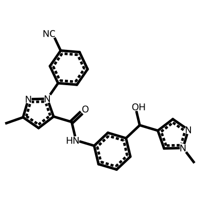 Cc1cc(C(=O)Nc2cccc(C(O)c3cnn(C)c3)c2)n(-c2cccc(C#N)c2)n1